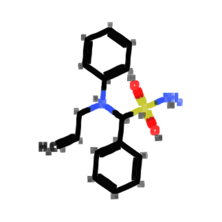 C=CCN(c1ccccc1)C(c1ccccc1)S(N)(=O)=O